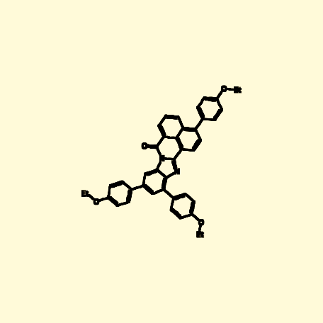 CCOc1ccc(-c2cc(-c3ccc(OCC)cc3)c3nc4c5ccc(-c6ccc(OCC)cc6)c6cccc(c(=O)n4c3c2)c65)cc1